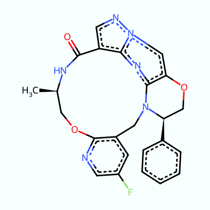 C[C@@H]1COc2ncc(F)cc2CN2c3nc4c(cnn4cc3OC[C@H]2c2ccccc2)C(=O)N1